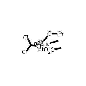 CC(C)OC(C)C.CCCCCC.CCOC(C)=O.ClC(Cl)Cl